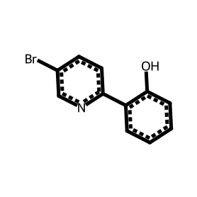 Oc1ccccc1-c1ccc(Br)cn1